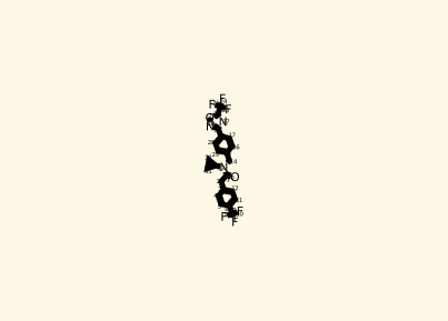 O=C(Cc1ccc(C(F)(F)F)cc1)N(Cc1ccc(-c2noc(C(F)(F)F)n2)cc1)C1CC1